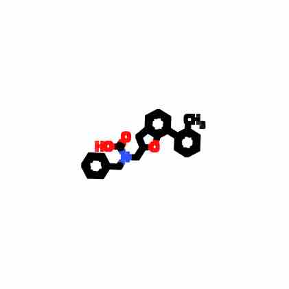 Cc1ccccc1-c1cccc2c1OC(CN(Cc1ccccc1)C(=O)O)C2